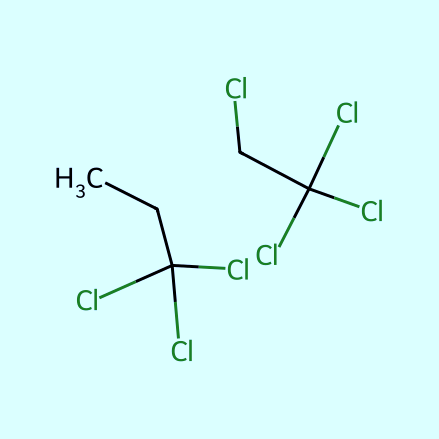 CCC(Cl)(Cl)Cl.ClCC(Cl)(Cl)Cl